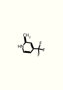 C=C1C=C(C(F)(F)F)C=CN1